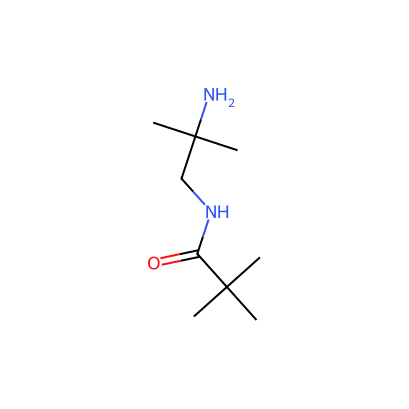 CC(C)(N)CNC(=O)C(C)(C)C